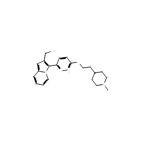 CN1CCC(CCOc2ccc(-c3c(CO)cc4ccccn34)nn2)CC1